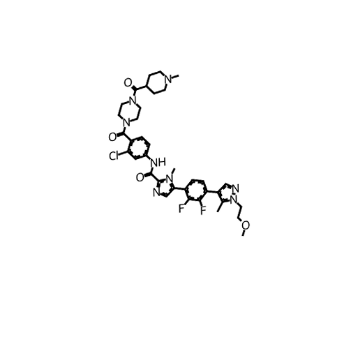 COCCn1ncc(-c2ccc(-c3cnc(C(=O)Nc4ccc(C(=O)N5CCN(C(=O)C6CCN(C)CC6)CC5)c(Cl)c4)n3C)c(F)c2F)c1C